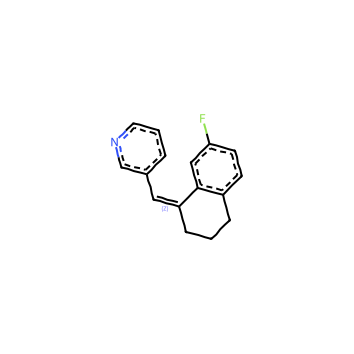 Fc1ccc2c(c1)/C(=C\c1cccnc1)CCC2